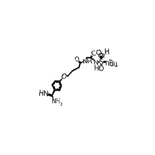 CCCCS(=O)(=O)NC(CNC(=O)CCCOc1ccc(C(=N)N)cc1)C(=O)O